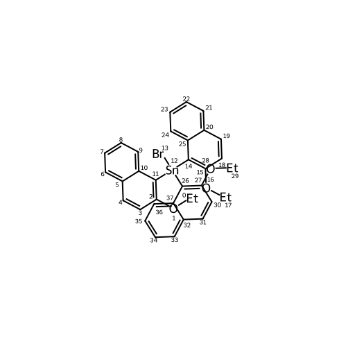 CCOc1ccc2ccccc2[c]1[Sn]([Br])([c]1c(OCC)ccc2ccccc12)[c]1c(OCC)ccc2ccccc12